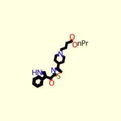 CCCOC(=O)CCCN1CCC(c2csc(C(=O)c3c[nH]c4ccccc34)n2)CC1